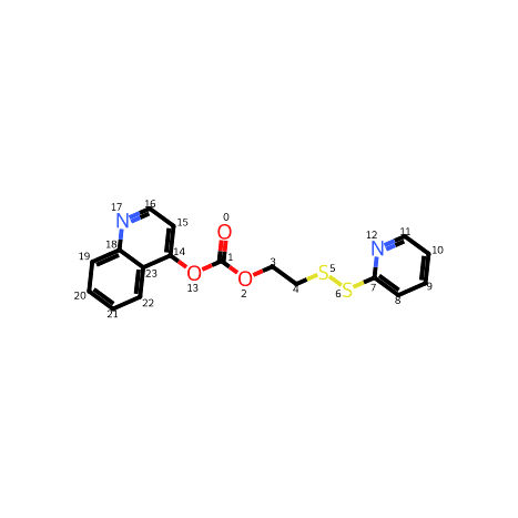 O=C(OCCSSc1ccccn1)Oc1ccnc2ccccc12